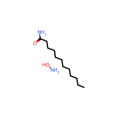 CCCCCCCCCCCC(N)=O.NO